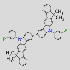 CC1(C)c2ccccc2-c2cc3c4cc(-c5ccc6c(c5)c5cc7c(cc5n6-c5cccc(F)c5)C(C)(C)c5ccccc5-7)ccc4n(-c4cccc(F)c4)c3cc21